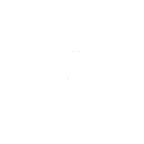 CNC(C)CCC(=O)OCCF